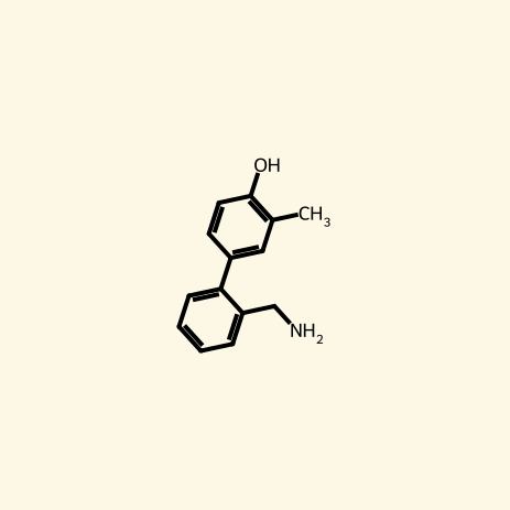 Cc1cc(-c2ccccc2CN)ccc1O